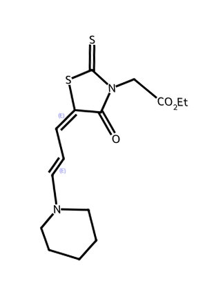 CCOC(=O)CN1C(=O)/C(=C\C=C\N2CCCCC2)SC1=S